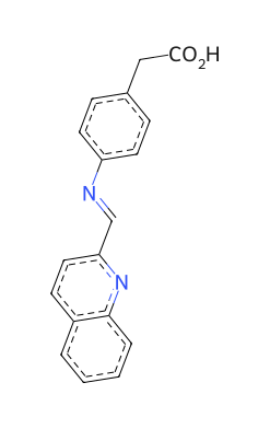 O=C(O)Cc1ccc(/N=C/c2ccc3ccccc3n2)cc1